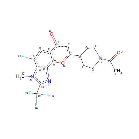 CC(=O)N1CCC(c2cc(=O)c3cc(F)c4c(nc(C(F)(F)F)n4C)c3o2)CC1